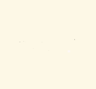 CCC/C=C\CCCCCCCCC